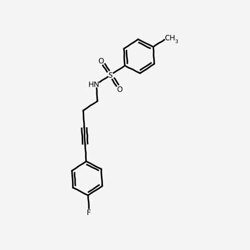 Cc1ccc(S(=O)(=O)NCCC#Cc2ccc(F)cc2)cc1